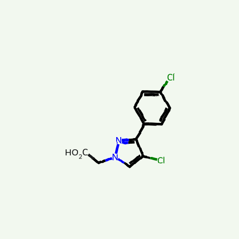 O=C(O)Cn1cc(Cl)c(-c2ccc(Cl)cc2)n1